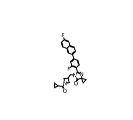 O=C(C1CC1)N1CC(CN2C(=O)C3(CC3)N=C2c2ccc(-c3ccc4cc(F)ccc4c3)cc2F)C1